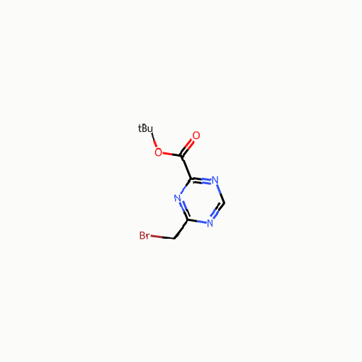 CC(C)(C)OC(=O)c1ncnc(CBr)n1